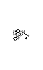 CN(C/C=C/C(=O)Nc1ccc2ncnc(NC3=CC=CCC3F)c2c1Cl)C1CC1